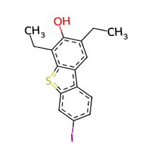 CCc1cc2c(sc3cc(I)ccc32)c(CC)c1O